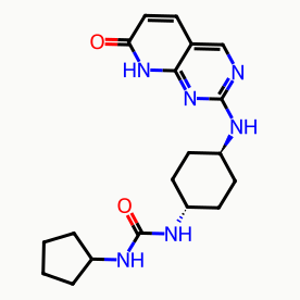 O=C(NC1CCCC1)N[C@H]1CC[C@H](Nc2ncc3ccc(=O)[nH]c3n2)CC1